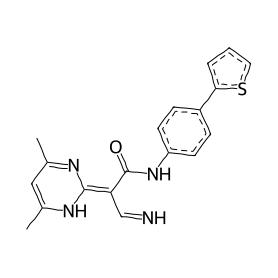 CC1=CC(C)=N/C(=C(/C=N)C(=O)Nc2ccc(-c3cccs3)cc2)N1